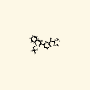 CC(C)Nc1nccc(C(=O)Nc2cnccc2OCC(F)(F)F)n1